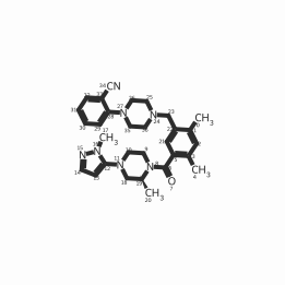 Cc1cc(C)c(C(=O)N2CCN(c3ccnn3C)C[C@@H]2C)cc1CN1CCN(c2ccccc2C#N)CC1